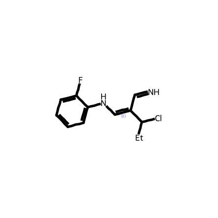 CCC(Cl)/C(C=N)=C/Nc1ccccc1F